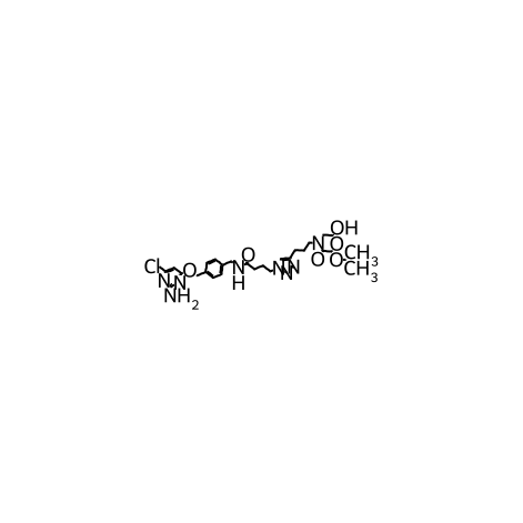 CC(C)OCC(=O)N(CCCc1cn(CCCC(=O)NCc2ccc(COc3cc(Cl)nc(N)n3)cc2)nn1)CC(=O)O